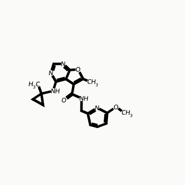 COc1cccc(CNC(=O)c2c(C)oc3ncnc(NC4(C)CC4)c23)n1